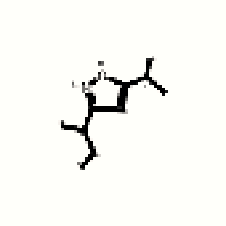 CCC(C)c1cc(C(C)C)on1